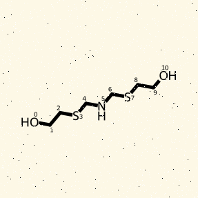 OCCSCNCSCCO